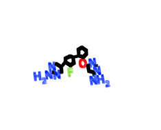 Nc1cc(Oc2ccccc2-c2ccc(-c3cnc(N)nc3)c(F)c2)ncn1